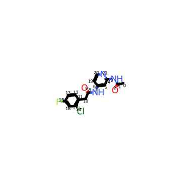 CC(=O)Nc1cc(NC(=O)Cc2ccc(F)cc2Cl)ccn1